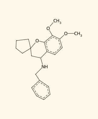 COc1ccc2c(c1OC)OC1(CCCC1)CC2NCc1ccccc1